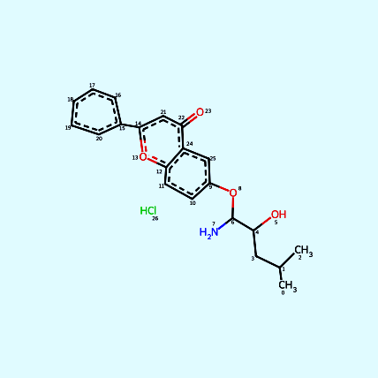 CC(C)CC(O)C(N)Oc1ccc2oc(-c3ccccc3)cc(=O)c2c1.Cl